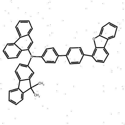 CC1(C)c2ccccc2-c2ccc(N(c3ccc(-c4ccc(-c5cccc6c5oc5ccccc56)cc4)cc3)c3cc4ccccc4c4ccccc34)cc21